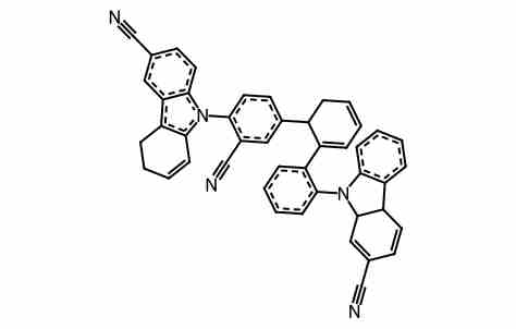 N#CC1=CC2C(C=C1)c1ccccc1N2c1ccccc1C1=CC=CCC1c1ccc(-n2c3c(c4cc(C#N)ccc42)CCC=C3)c(C#N)c1